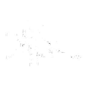 CCCCOC(=O)N[C@@H](Cc1cc(F)cc(F)c1)c1nc2cc(Br)ccc2c(=O)n1-c1ccc(Cl)c2c(N(Cc3ccc(OC)cc3)S(C)(=O)=O)nn(CC(F)F)c12